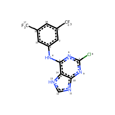 FC(F)(F)c1cc(Nc2nc(Cl)nc3nc[nH]c23)cc(C(F)(F)F)c1